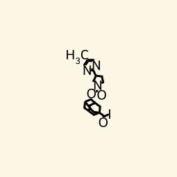 Cc1cnc(C2CCN(C(=O)OC3C4CC5CC3CC(C(=O)I)(C5)C4)C2)nc1